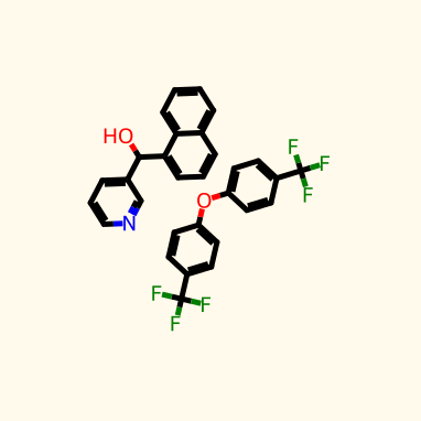 FC(F)(F)c1ccc(Oc2ccc(C(F)(F)F)cc2)cc1.OC(c1cccnc1)c1cccc2ccccc12